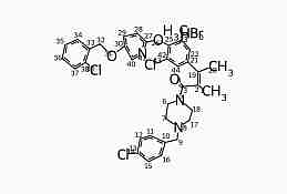 Br.C/C(C(=O)N1CCN(Cc2ccc(Cl)cc2)CC1)=C(\C)c1cc(C)c(Oc2ccc(OCc3ccccc3Cl)cn2)c(Cl)c1